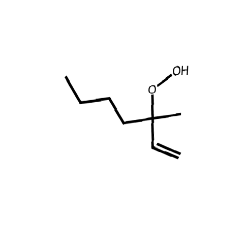 C=CC(C)(CCCC)OO